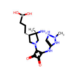 CN1NC=C(Nc2c(N3C[C@H](CCCB(O)O)[C@@](C)(N)C3)c(=O)c2=O)N1